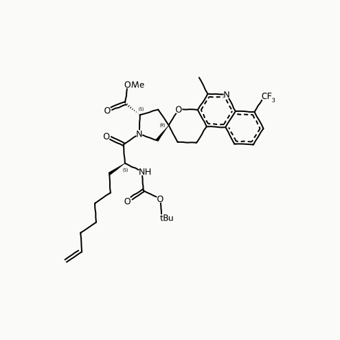 C=CCCCCC[C@H](NC(=O)OC(C)(C)C)C(=O)N1C[C@@]2(CCc3c(c(C)nc4c(C(F)(F)F)cccc34)O2)C[C@H]1C(=O)OC